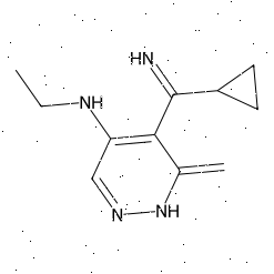 C=C1NN=CC(NCC)=C1C(=N)C1CC1